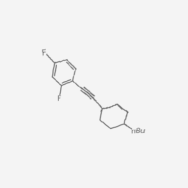 CCCCC1CCC(C#Cc2ccc(F)cc2F)CC1